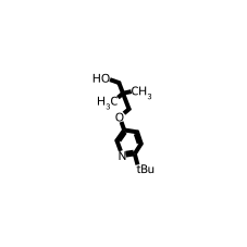 CC(C)(CO)COc1ccc(C(C)(C)C)nc1